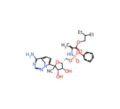 C=C(NP(=O)(OC[C@H]1O[C@@](C#N)(C2=CC=C3CN2N=CN=C3N)[C@H](O)[C@@H]1O)Oc1ccccc1)C(=O)OCC(CC)CC